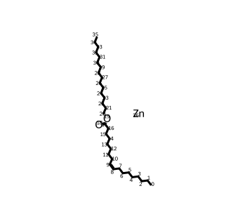 CCCCCCCC/C=C\CCCCCCCC(=O)OCCCCCCCCCCCCCCCC.[Zn]